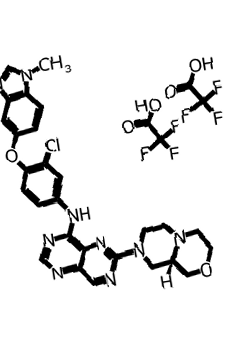 Cn1cnc2cc(Oc3ccc(Nc4ncnc5cnc(N6CCN7CCOC[C@@H]7C6)nc45)cc3Cl)ccc21.O=C(O)C(F)(F)F.O=C(O)C(F)(F)F